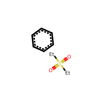 CCS(=O)(=O)CC.c1ccccc1